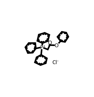 O=C(C[P+](c1ccccc1)(c1ccccc1)c1ccccc1)Oc1ccccc1.[Cl-]